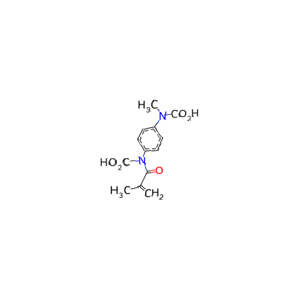 C=C(C)C(=O)N(C(=O)O)c1ccc(N(C)C(=O)O)cc1